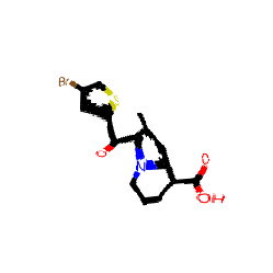 Cc1cc2n(c1C(=O)c1cc(Br)cs1)CCCC2C(=O)O